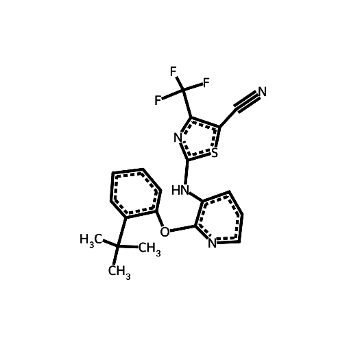 CC(C)(C)c1ccccc1Oc1ncccc1Nc1nc(C(F)(F)F)c(C#N)s1